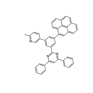 Cc1ccc(-c2cc(-c3nc(-c4ccccc4)cc(-c4ccccc4)n3)cc(-c3cc4cccc5ccc6cccc3c6c54)c2)cn1